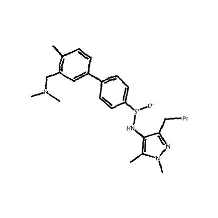 Cc1ccc(-c2ccc([S+]([O-])Nc3c(CC(C)C)nn(C)c3C)cc2)cc1CN(C)C